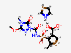 COc1nn(C(=O)NS(=O)(=O)c2c(C(=O)O)csc2C)c(=O)n1C.c1cscn1